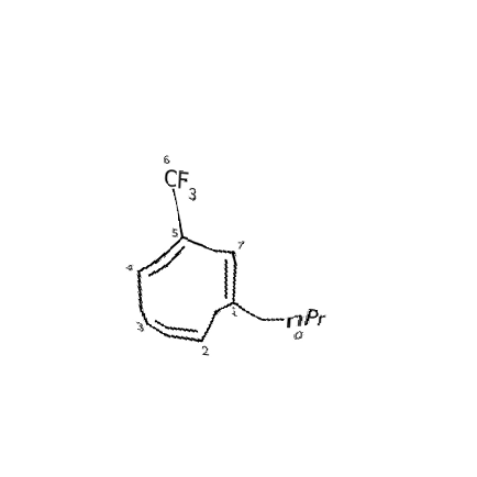 CCCc1cccc(C(F)(F)F)c1